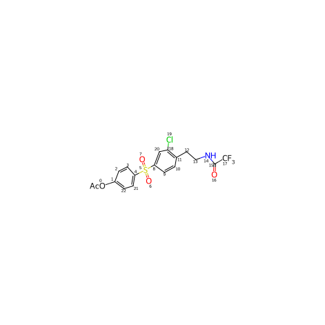 CC(=O)Oc1ccc(S(=O)(=O)c2ccc(CCNC(=O)C(F)(F)F)c(Cl)c2)cc1